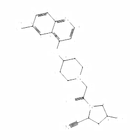 N#CC1CC(F)CN1C(=O)CN1CCC(Oc2ccnc3ccc(Cl)cc23)CC1